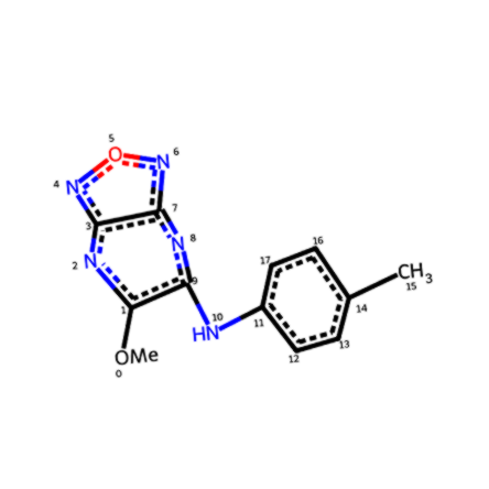 COc1nc2nonc2nc1Nc1ccc(C)cc1